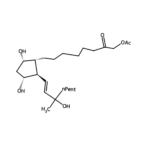 CCCCCC(C)(O)/C=C/[C@@H]1[C@@H](CCCCCCC(=O)COC(C)=O)[C@@H](O)C[C@H]1O